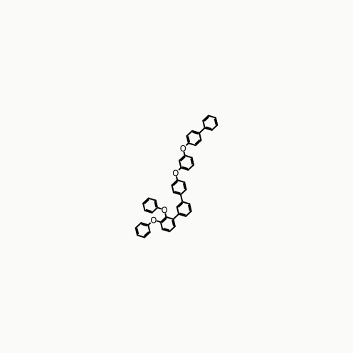 c1ccc(Oc2cccc(-c3cccc(-c4ccc(Oc5cccc(Oc6ccc(-c7ccccc7)cc6)c5)cc4)c3)c2Oc2ccccc2)cc1